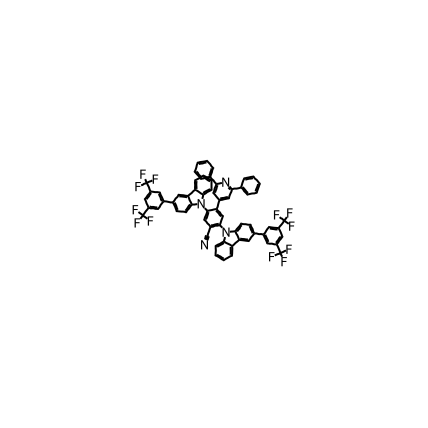 N#Cc1cc(-n2c3ccccc3c3cc(-c4cc(C(F)(F)F)cc(C(F)(F)F)c4)ccc32)c(-c2cc(-c3ccccc3)nc(-c3ccccc3)c2)cc1-n1c2ccccc2c2cc(-c3cc(C(F)(F)F)cc(C(F)(F)F)c3)ccc21